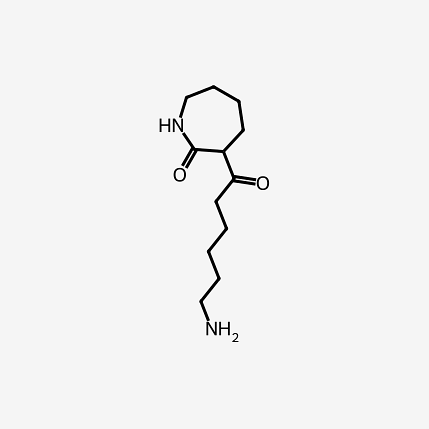 NCCCCCC(=O)C1CCCCNC1=O